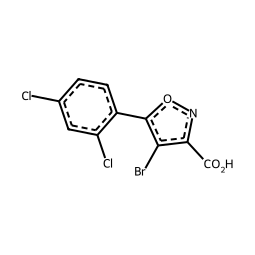 O=C(O)c1noc(-c2ccc(Cl)cc2Cl)c1Br